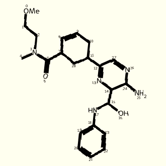 COCCN(C)C(=O)C1C=CCC(C2=NC(C(O)Nc3ccccc3)C(N)N=C2)C1